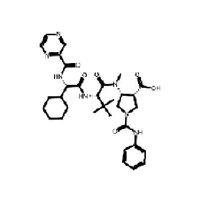 CN(C(=O)[C@@H](NC(=O)[C@@H](NC(=O)c1cnccn1)C1CCCCC1)C(C)(C)C)[C@H]1CN(C(=O)Nc2ccccc2)C[C@H]1C(=O)O